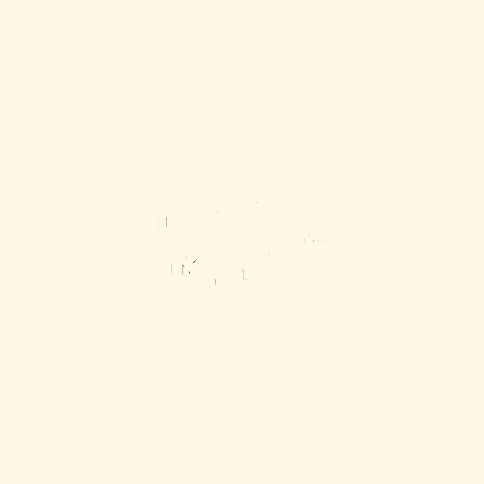 CCC1(CC)c2cc(O)ccc2C[C@@H](O)[C@@H]1N